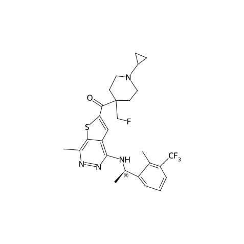 Cc1c([C@@H](C)Nc2nnc(C)c3sc(C(=O)C4(CF)CCN(C5CC5)CC4)cc23)cccc1C(F)(F)F